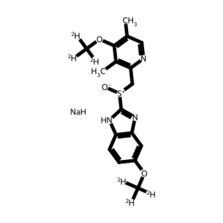 [2H]C([2H])([2H])Oc1ccc2[nH]c([S+]([O-])Cc3ncc(C)c(OC([2H])([2H])[2H])c3C)nc2c1.[NaH]